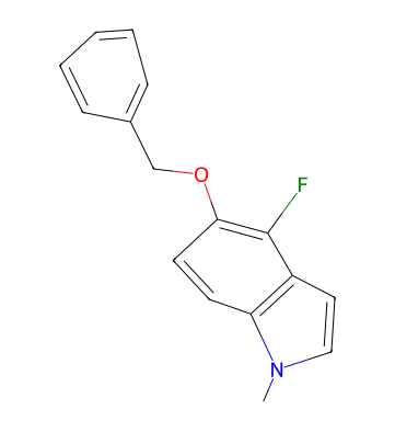 Cn1ccc2c(F)c(OCc3ccccc3)ccc21